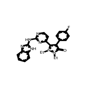 CCn1c(-c2ccnc(Nc3nc4ccccc4[nH]3)n2)c(-c2ccc(F)cc2)c(=O)n1CC